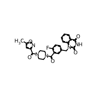 Cc1cc(C(=O)N2CCN(C(=O)c3cc(Cn4c(=O)[nH]c(=O)c5ccccc54)ccc3F)CC2)no1